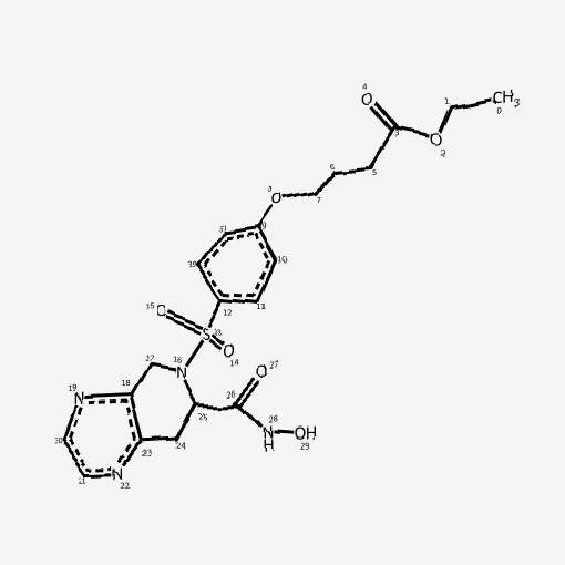 CCOC(=O)CCCOc1ccc(S(=O)(=O)N2Cc3nccnc3CC2C(=O)NO)cc1